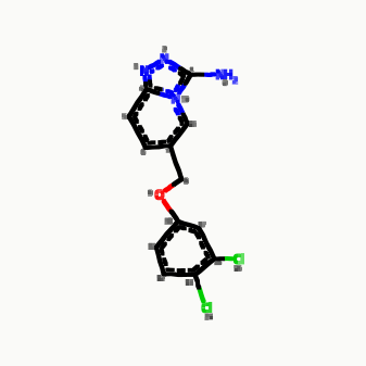 Nc1nnc2ccc(COc3ccc(Cl)c(Cl)c3)cn12